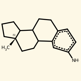 C[C@@]12CCCC1C1CCc3ccc([NH])cc3C1CC2